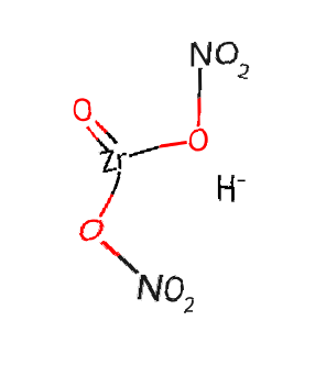 O=[N+]([O-])[O][Zr](=[O])[O][N+](=O)[O-].[H-]